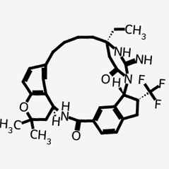 CC[C@]12CCCCc3ccc4c(c3)[C@H](CC(C)(C)O4)NC(=O)c3ccc4c(c3)[C@@H]([C@H](C(F)(F)F)C4)N(C(=N)N1)C(=O)C2